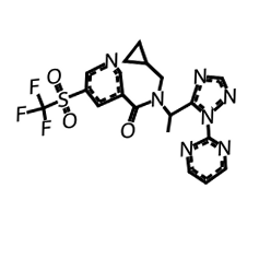 CC(c1ncnn1-c1ncccn1)N(CC1CC1)C(=O)c1cncc(S(=O)(=O)C(F)(F)F)c1